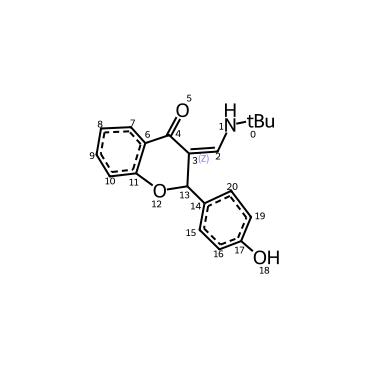 CC(C)(C)N/C=C1\C(=O)c2ccccc2OC1c1ccc(O)cc1